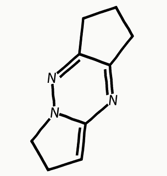 C1=C2N=C3CCCC3=NN2CC1